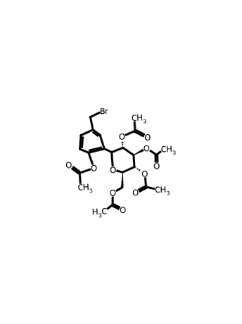 CC(=O)OC[C@H]1OC(c2cc(CBr)ccc2OC(C)=O)[C@H](OC(C)=O)[C@@H](OC(C)=O)[C@@H]1OC(C)=O